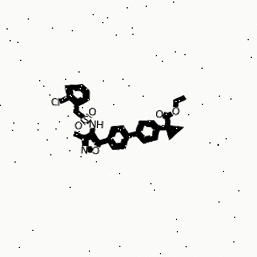 CCOC(=O)C1(c2ccc(-c3ccc(-c4onc(C)c4NS(=O)(=O)Cc4ccccc4Cl)cc3)cc2)CC1